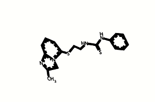 Cc1cn2c(SCCNC(=S)Nc3ccccc3)cccc2n1